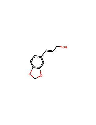 OCC=Cc1ccc2c(c1)OCO2